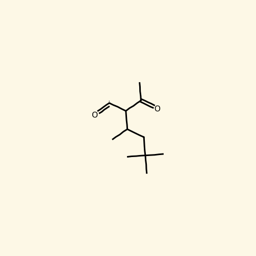 CC(=O)C([C]=O)C(C)CC(C)(C)C